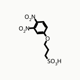 O=[N+]([O-])c1ccc(OCCCS(=O)(=O)O)cc1[N+](=O)[O-]